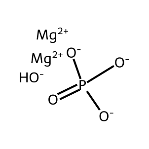 O=P([O-])([O-])[O-].[Mg+2].[Mg+2].[OH-]